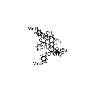 CC/C=C\C(C)[C@H](OCc1ccc(OC)cc1)[C@@H](C)[C@H](O[Si](C)(C)C(C)(C)C)[C@@H](C)C/C(C)=C\[C@H](C)[C@@H](O[Si](C)(C)C(C)(C)C)C(C)COCc1ccc(OC)cc1